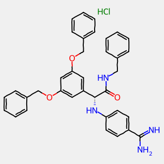 Cl.N=C(N)c1ccc(N[C@@H](C(=O)NCc2ccccc2)c2cc(OCc3ccccc3)cc(OCc3ccccc3)c2)cc1